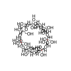 OCC1O[C@@H]2O[C@@H]3C(CO)O[C@H](O[C@@H]4C(CO)O[C@H](O[C@@H]5C(CO)O[C@H](O[C@@H]6C(CO)O[C@H](O[C@@H]7C(CO)O[C@H](O[C@@H]8C(CO)O[C@H](O[C@H]1C(O)C2O)C(O)C8O)[C@H](O)C7O)C(O)C6O)C(O)[C@H]5O)C(O)C4O)C(O)[C@H]3O